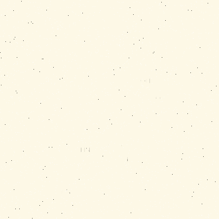 CCCCCCCCCCCCNCCCN.O=C(O)CCCCC(=O)O